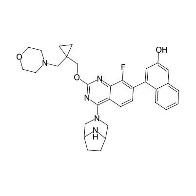 Oc1cc(-c2ccc3c(N4CC5CCC(C4)N5)nc(OCC4(CN5CCOCC5)CC4)nc3c2F)c2ccccc2c1